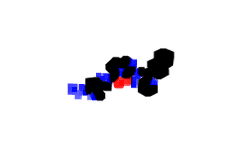 Cc1nc(N)ccc1CNC(=O)[C@@H]1CCc2cnc(NC[C@@H](c3ccc4ccccc4c3)c3ccccn3)c(=O)n21